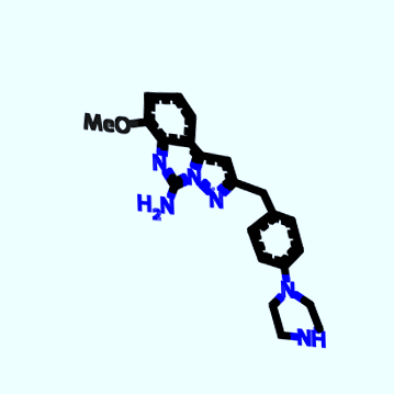 COc1cccc2c1nc(N)n1nc(Cc3ccc(N4CCNCC4)cc3)cc21